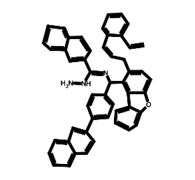 C=Cc1ccccc1/C=C\Cc1ccc2oc3ccccc3c2c1C(/N=C(\NN)c1ccc2ccccc2c1)c1ccc(-c2ccc3ccccc3c2)cc1